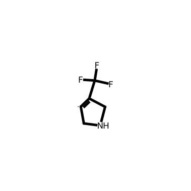 FC(F)(F)C1=[C]CNC1